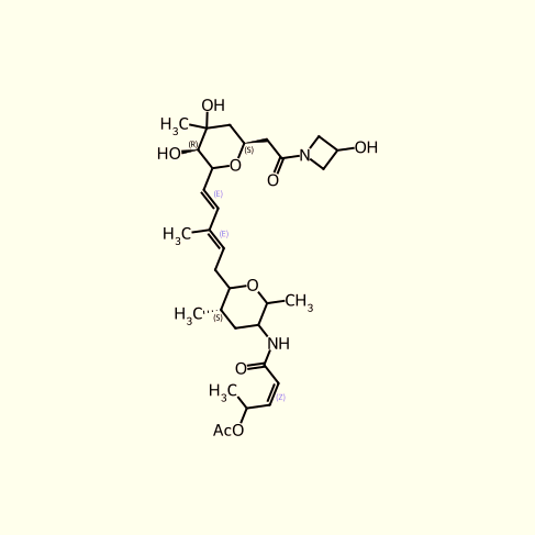 CC(=O)OC(C)/C=C\C(=O)NC1C[C@H](C)C(C/C=C(C)/C=C/C2O[C@H](CC(=O)N3CC(O)C3)CC(C)(O)[C@@H]2O)OC1C